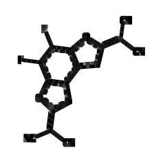 N#CC(C#N)=c1cc2c(o1)c(F)c(F)c1oc(=C(C#N)C#N)cc12